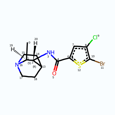 C[C@H]1[C@H](NC(=O)c2cc(Cl)c(Br)s2)C2CCN1CC2